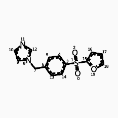 O=S(=O)(c1ccc(Cn2ccnc2)cc1)c1ccco1